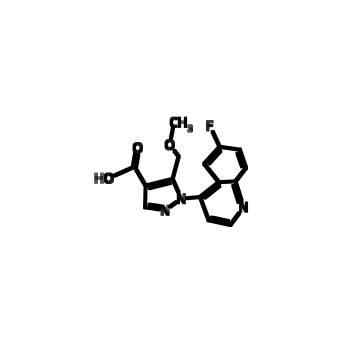 COCc1c(C(=O)O)cnn1-c1ccnc2ccc(F)cc12